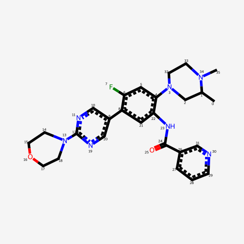 CC1CN(c2cc(F)c(-c3cnc(N4CCOCC4)nc3)cc2NC(=O)c2cccnc2)CCN1C